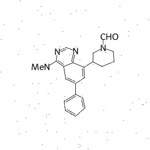 CNc1ncnc2c(C3CCCN(C=O)C3)cc(-c3ccccc3)cc12